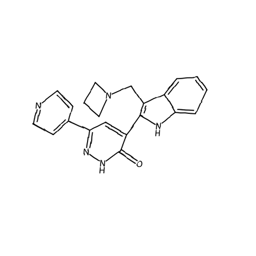 O=c1[nH]nc(-c2ccncc2)cc1-c1[nH]c2ccccc2c1CN1CCC1